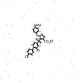 CCOC(=O)c1nnn(Cc2ccc(OC)cc2)c1C(F)(F)c1ccc(-c2ccc(Cl)cc2)c(Cl)c1